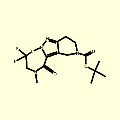 CN1CC(F)(F)Cn2nc3c(c2C1=O)CN(C(=O)OC(C)(C)C)CC3